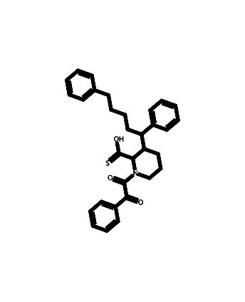 O=C(C(=O)N1CCCC(C(CCCCc2ccccc2)c2ccccc2)C1C(O)=S)c1ccccc1